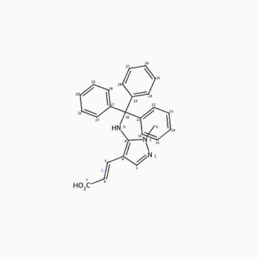 Cn1ncc(/C=C/C(=O)O)c1NC(c1ccccc1)(c1ccccc1)c1ccccc1